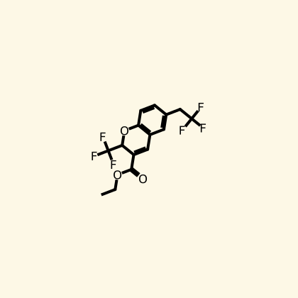 CCOC(=O)C1=Cc2cc(CC(F)(F)F)ccc2OC1C(F)(F)F